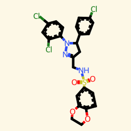 O=S(=O)(NCC1=NN(c2ccc(Cl)cc2Cl)C(c2ccc(Cl)cc2)C1)c1ccc2c(c1)OCCO2